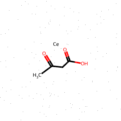 CC(=O)CC(=O)O.[Ce]